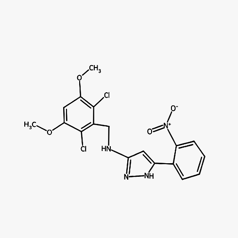 COc1cc(OC)c(Cl)c(CNc2cc(-c3ccccc3[N+](=O)[O-])[nH]n2)c1Cl